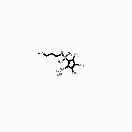 CCCCN[Si](C)(C)C1=C(C)C(C)=C(C)C1C.[LiH].[LiH]